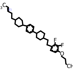 C/C=C/CCC1CCC(c2ccc(C3CCC(CCc4ccc(OCCCC)c(F)c4F)CC3)cc2)CC1